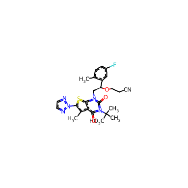 Cc1ccc(F)cc1[C@H](Cn1c(=O)n(C(C)(C)C(=O)O)c(=O)c2c(C)c(-n3nccn3)sc21)OCCC#N